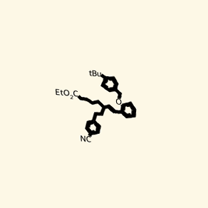 CCOC(=O)CCCCC(C=Cc1ccccc1OCc1ccc(C(C)(C)C)cc1)CCc1ccc(C#N)cc1